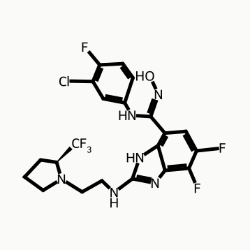 O/N=C(\Nc1ccc(F)c(Cl)c1)c1cc(F)c(F)c2nc(NCCN3CCC[C@H]3C(F)(F)F)[nH]c12